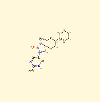 CCCN1C(=O)N(c2cnc(C#N)nc2)CC12CCC(c1ccccc1)CC2